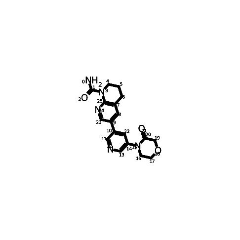 NC(=O)N1CCCc2cc(-c3cncc(N4CCOCC4=O)c3)cnc21